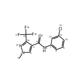 Cn1cc(C(=O)Nc2cccc(Cl)c2)c(C(F)(F)F)n1